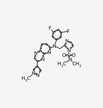 CN(C)S(=O)(=O)n1ccnc1CN(c1cc(F)cc(F)c1)c1ccc2ncc(-c3cnn(C)c3)nc2n1